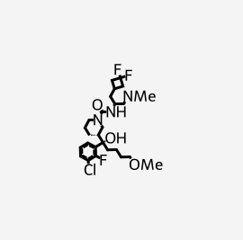 CNCC(CC1CC(F)(F)C1)NC(=O)N1CCC[C@@H]([C@@](O)(CCCCOC)c2cccc(Cl)c2F)C1